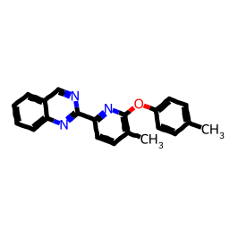 Cc1ccc(Oc2nc(-c3ncc4ccccc4n3)ccc2C)cc1